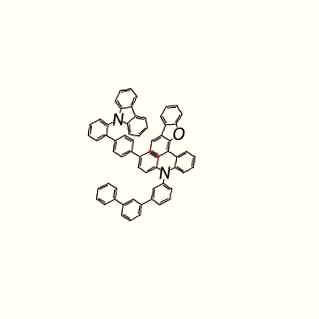 c1ccc(-c2cccc(-c3cccc(N(c4ccc(-c5ccc(-c6ccccc6-n6c7ccccc7c7ccccc76)cc5)cc4)c4ccccc4-c4cccc5c4oc4ccccc45)c3)c2)cc1